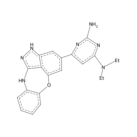 CCN(CC)c1cc(-c2cc3c4c(n[nH]c4c2)Nc2ccccc2O3)nc(N)n1